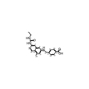 CCNC(=O)Nc1cc2cc(NCc3ccc(C(=O)O)cc3)cc(C)c2cn1